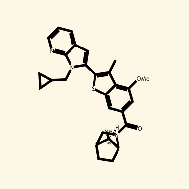 COc1cc(C(=O)N2CC3CCC2[C@@H]3N)cc2sc(-c3cc4cccnc4n3CC3CC3)c(C)c12